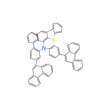 c1ccc(-c2ccc(-c3cc4ccccc4c4ccccc34)cc2N(c2ccc(-c3cc4ccccc4c4ccccc34)cc2)c2cccc3c2sc2ccccc23)cc1